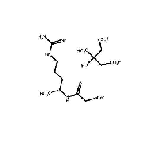 CCCCCCCCCCCC(=O)N[C@@H](CCCNC(=N)N)C(=O)O.O=C(O)CC(O)(CC(=O)O)C(=O)O